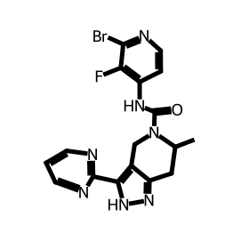 CC1Cc2n[nH]c(-c3ncccn3)c2CN1C(=O)Nc1ccnc(Br)c1F